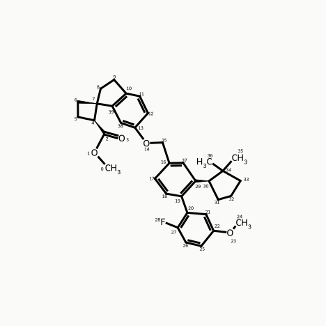 COC(=O)[C@H]1CC[C@]12CCc1ccc(OCc3ccc(-c4cc(OC)ccc4F)c([C@@H]4CCCC4(C)C)c3)cc12